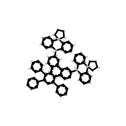 c1ccc(-c2cc(-c3ccccc3)c3c4ccc(N5c6ccccc6[Si]6(CCCC6)c6ccccc65)cc4c4cc(N5c6ccccc6[Si]6(CCCC6)c6ccccc65)ccc4c3c2-c2ccccc2)cc1